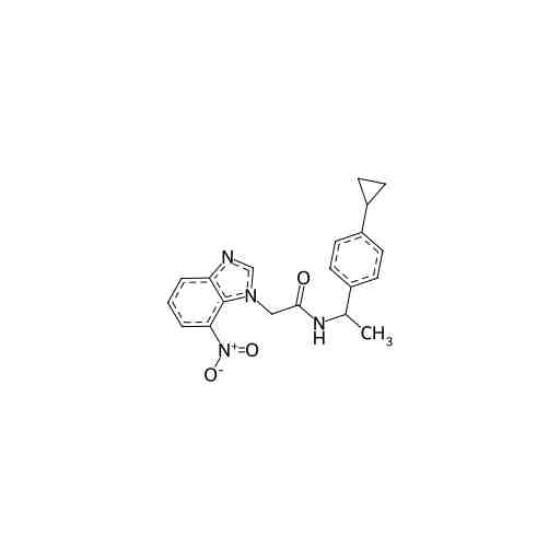 CC(NC(=O)Cn1cnc2cccc([N+](=O)[O-])c21)c1ccc(C2CC2)cc1